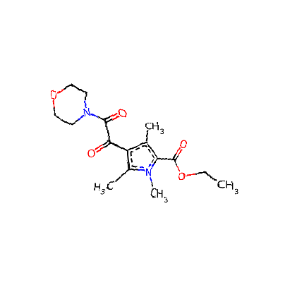 CCOC(=O)c1c(C)c(C(=O)C(=O)N2CCOCC2)c(C)n1C